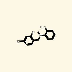 CN(Cc1cnc(Cl)cc1Cl)c1ccccc1N